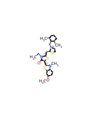 CCn1c(=O)/c(=C2\Sc3cc(OC)ccc3N2C)s/c1=C\c1scc[n+]1Cc1c(C)cccc1C